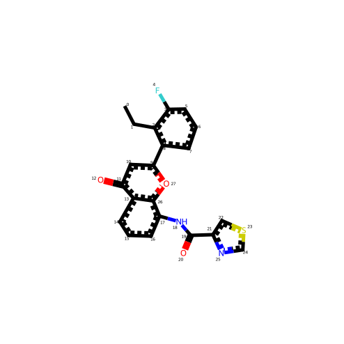 CCc1c(F)cccc1-c1cc(=O)c2cccc(NC(=O)c3cscn3)c2o1